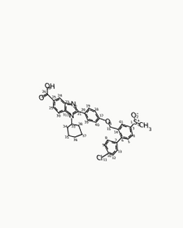 C[S+]([O-])c1ccc(-c2ccc(Cl)cc2)c(COc2ccc(-c3nc4cc(C(=O)O)ccc4n3C3CCCCC3)cc2)c1